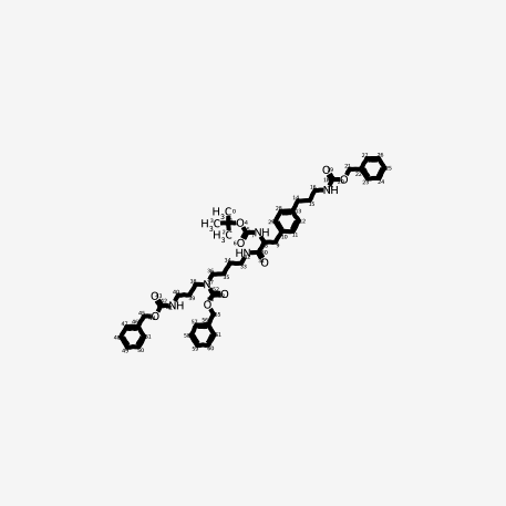 CC(C)(C)OC(=O)NC(Cc1ccc(CCCNC(=O)OCc2ccccc2)cc1)C(=O)NCCCCN(CCCNC(=O)OCc1ccccc1)C(=O)OCc1ccccc1